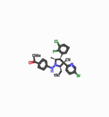 COC(=O)c1ccc(NN2[C@H](C)[C@H](c3cccc(Cl)c3F)[C@@](C#N)(c3ccc(Br)cn3)[C@@H]2CC(C)(C)C)cc1